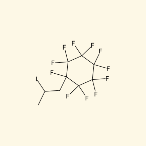 CC(I)CC1(F)C(F)(F)C(F)(F)C(F)(F)C(F)(F)C1(F)F